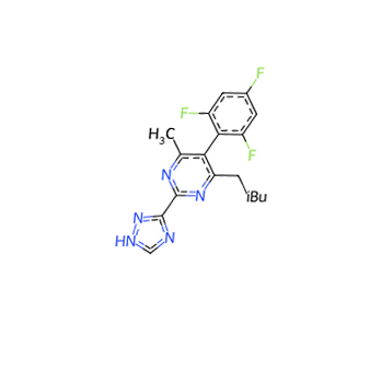 CCC(C)Cc1nc(-c2nc[nH]n2)nc(C)c1-c1c(F)cc(F)cc1F